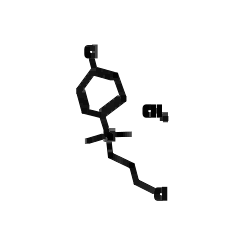 C.C[Si](C)(CCCCl)c1ccc(Cl)cc1